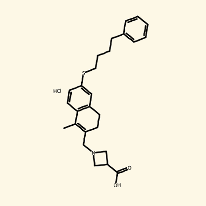 CC1=C(CN2CC(C(=O)O)C2)CCc2cc(SCCCCc3ccccc3)ccc21.Cl